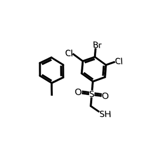 Cc1ccccc1.O=S(=O)(CS)c1cc(Cl)c(Br)c(Cl)c1